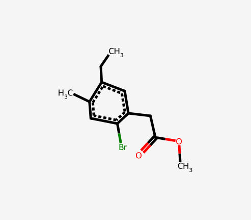 CCc1cc(CC(=O)OC)c(Br)cc1C